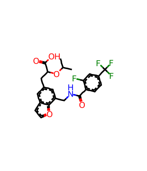 CC(C)OC(Cc1cc(CNC(=O)c2ccc(C(F)(F)F)cc2F)c2occc2c1)C(=O)O